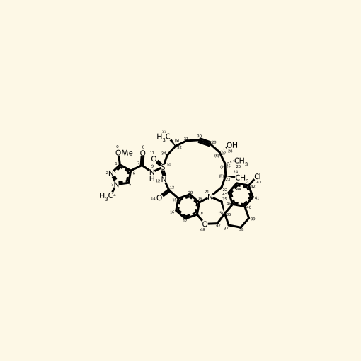 COc1nn(C)cc1C(=O)NS1(=O)=NC(=O)c2ccc3c(c2)N(C[C@H](C)[C@@H](C)[C@@H](O)C#CC[C@H](C)C1)C[C@@]1(CCCc2cc(Cl)ccc21)CO3